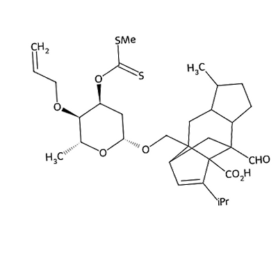 C=CCO[C@H]1[C@@H](OC(=S)SC)C[C@H](OCC23CC4C(C)CCC4C4(C=O)CC2C=C(C(C)C)C43C(=O)O)O[C@@H]1C